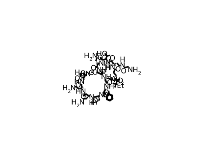 CCC(C)(C)C(=O)OCCC(=O)N[C@@H](CCNC(=O)CN)C(=O)N[C@H](C(=O)N[C@@H](CCN)C(=O)N[C@H]1CCNC(=O)[C@H](C(C)O)NC(=O)[C@H](CCN)NC(=O)[C@H](CCN)NC(=O)[C@H](CC(C)C)NC(=O)[C@@H](Cc2ccccc2)NC(=O)[C@H](CCN)NC1=O)C(C)O